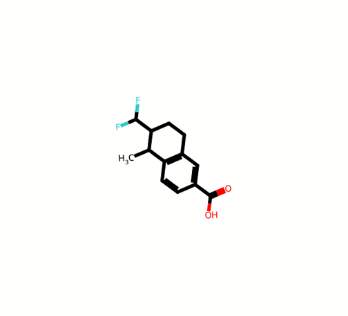 CC1c2ccc(C(=O)O)cc2CCC1C(F)F